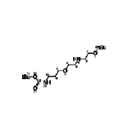 CCCCOCCNCCOCCCNC(=O)OC(C)(C)C